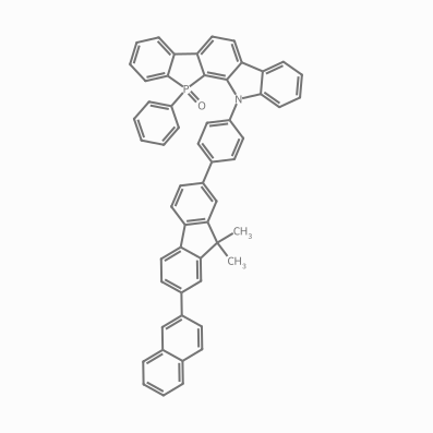 CC1(C)c2cc(-c3ccc(-n4c5ccccc5c5ccc6c(c54)P(=O)(c4ccccc4)c4ccccc4-6)cc3)ccc2-c2ccc(-c3ccc4ccccc4c3)cc21